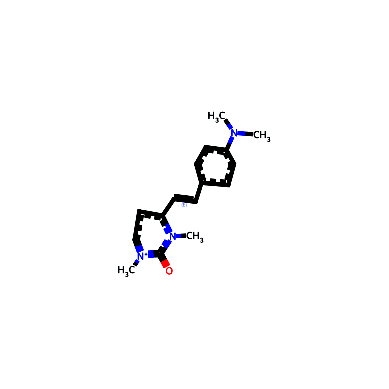 CN(C)c1ccc(/C=C/c2cc[n+](C)c(=O)n2C)cc1